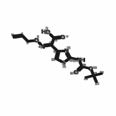 C=CCON=C(C(=O)O)c1csc(NC(=O)OC(C)(C)C)n1